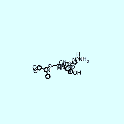 CC(C)(CCCCOc1cc(-c2ccc3c(c2)OCO3)cc(-c2ccccc2)n1)C(=O)NC(Cc1ccc(O)cc1)C(=O)NS(=O)(=O)c1ccc(NN)nc1